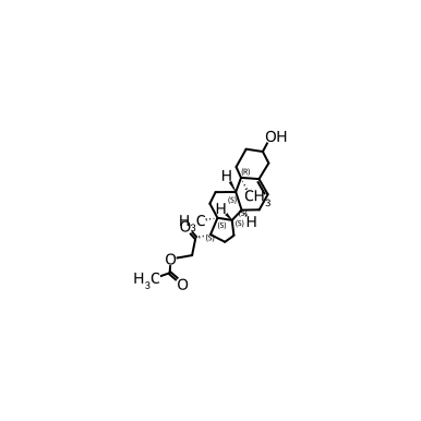 CC(=O)OCC(=O)[C@H]1CC[C@H]2[C@@H]3CC=C4CC(O)CC[C@]4(C)[C@H]3CC[C@]12C